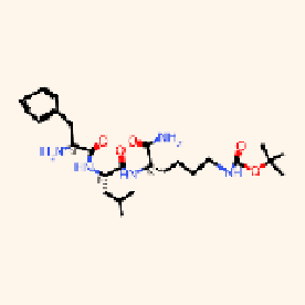 CC(C)C[C@H](NC(=O)[C@@H](N)Cc1ccccc1)C(=O)N[C@@H](CCCCNC(=O)OC(C)(C)C)C(N)=O